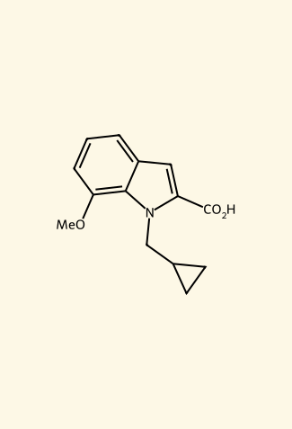 COc1cccc2cc(C(=O)O)n(CC3CC3)c12